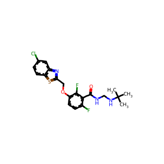 CC(C)(C)NCNC(=O)c1c(F)ccc(OCc2nc3cc(Cl)ccc3s2)c1F